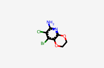 Nc1nc2c(c(Br)c1Cl)OCCO2